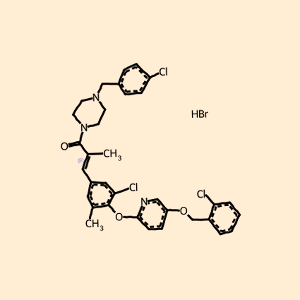 Br.C/C(=C\c1cc(C)c(Oc2ccc(OCc3ccccc3Cl)cn2)c(Cl)c1)C(=O)N1CCN(Cc2ccc(Cl)cc2)CC1